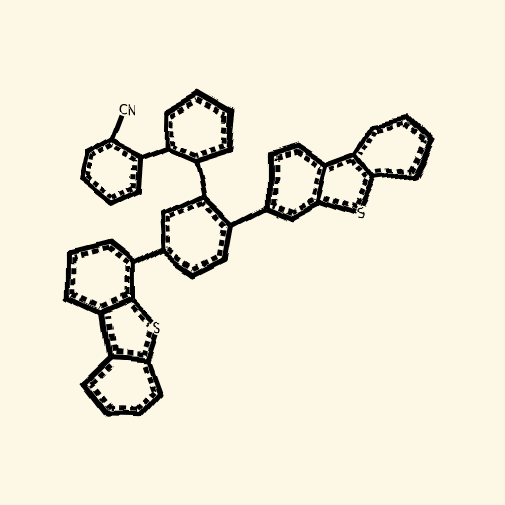 N#Cc1ccccc1-c1ccccc1-c1cc(-c2cccc3c2sc2ccccc23)ccc1-c1ccc2c(c1)sc1ccccc12